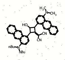 CCCCN(CCCC)c1ccc(C2C(=C(C#N)C#N)C(c3ccc(N(C)C)c4cc5ccccc5cc34)C2O)c2cc3ccccc3cc12